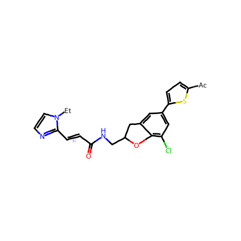 CCn1ccnc1/C=C/C(=O)NCC1Cc2cc(-c3ccc(C(C)=O)s3)cc(Cl)c2O1